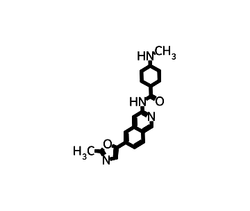 CNC1CCC(C(=O)Nc2cc3cc(-c4cnc(C)o4)ccc3cn2)CC1